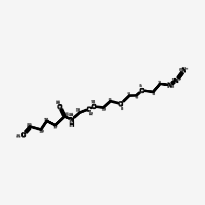 [N-]=[N+]=NCCOCCOCCOCCNC(=O)CCC[C]=O